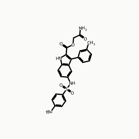 Cc1cccc(-c2c(C(=O)OCC(N)=O)[nH]c3ccc(NS(=O)(=O)c4ccc(C(C)(C)C)cc4)cc23)c1